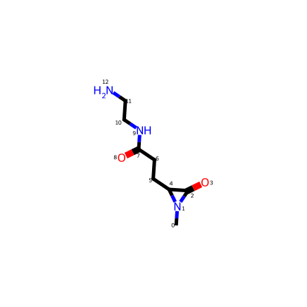 CN1C(=O)C1CCC(=O)NCCN